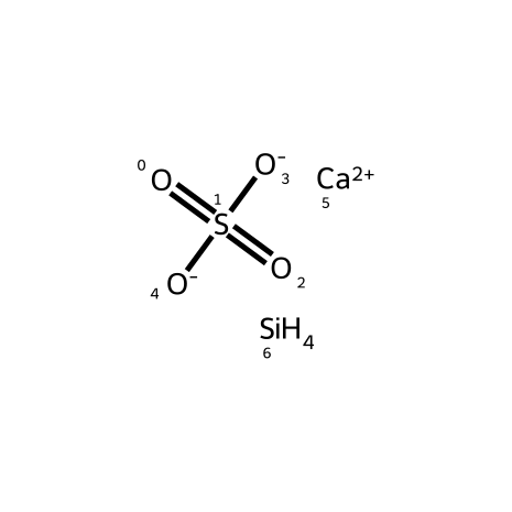 O=S(=O)([O-])[O-].[Ca+2].[SiH4]